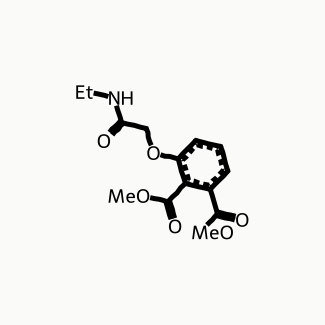 CCNC(=O)COc1cccc(C(=O)OC)c1C(=O)OC